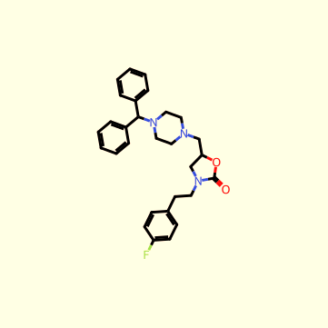 O=C1OC(CN2CCN(C(c3ccccc3)c3ccccc3)CC2)CN1CCc1ccc(F)cc1